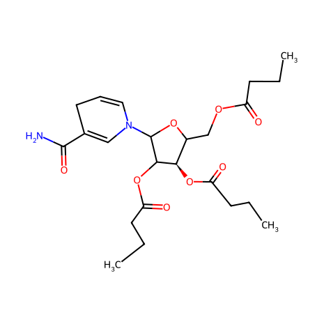 CCCC(=O)OCC1OC(N2C=CCC(C(N)=O)=C2)C(OC(=O)CCC)[C@@H]1OC(=O)CCC